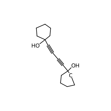 OC1(C#CC#CC2(O)CCCCC2)CCCCC1